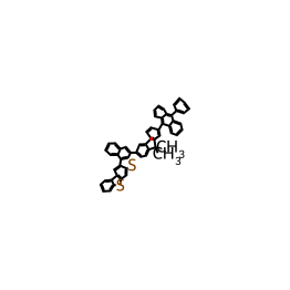 CC1(C)c2ccc(-c3cc4ccccc4c4c3sc3cc5sc6ccccc6c5cc34)cc2-c2ccc(-c3c4ccccc4c(-c4ccccc4)c4ccccc34)cc21